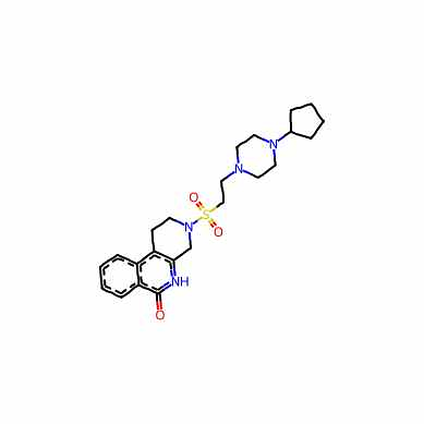 O=c1[nH]c2c(c3ccccc13)CCN(S(=O)(=O)CCN1CCN(C3CCCC3)CC1)C2